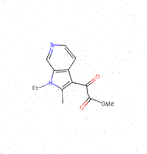 CCn1c(C)c(C(=O)C(=O)OC)c2ccncc21